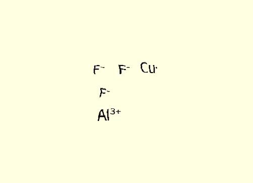 [Al+3].[Cu].[F-].[F-].[F-]